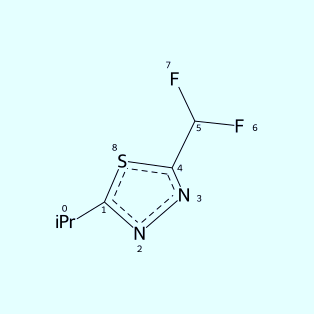 CC(C)c1nnc(C(F)F)s1